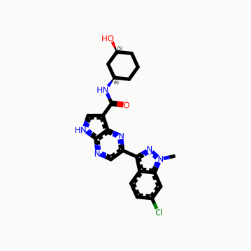 Cn1nc(-c2cnc3[nH]cc(C(=O)N[C@@H]4CCC[C@H](O)C4)c3n2)c2ccc(Cl)cc21